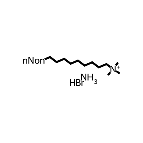 Br.CCCCCCCCCCCCCCCCCC[N+](C)(C)C.N